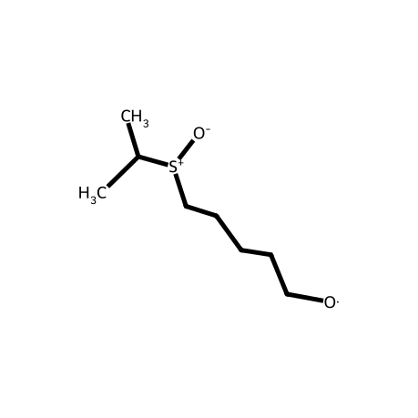 CC(C)[S+]([O-])CCCCC[O]